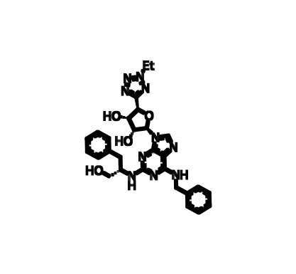 CCn1nnc([C@H]2O[C@@H](n3cnc4c(NCc5ccccc5)nc(N[C@H](CO)Cc5ccccc5)nc43)[C@H](O)[C@@H]2O)n1